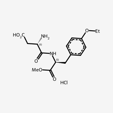 CCOc1ccc(C[C@H](NC(=O)[C@@H](N)CC(=O)O)C(=O)OC)cc1.Cl